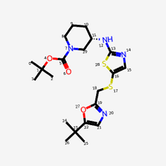 CC(C)(C)OC(=O)N1CCC[C@H](Nc2ncc(SCc3ncc(C(C)(C)C)o3)s2)C1